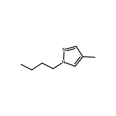 CCCCn1cc(C)[c]n1